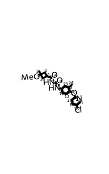 COC1(C)CC(C(=O)NC(=O)Nc2ccc(Oc3ccc(Cl)cn3)c(C)c2)C1